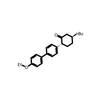 CCCC[C@H]1CC[C@H](c2ccc(-c3ccc(OCC)cc3)cc2)C(=O)C1